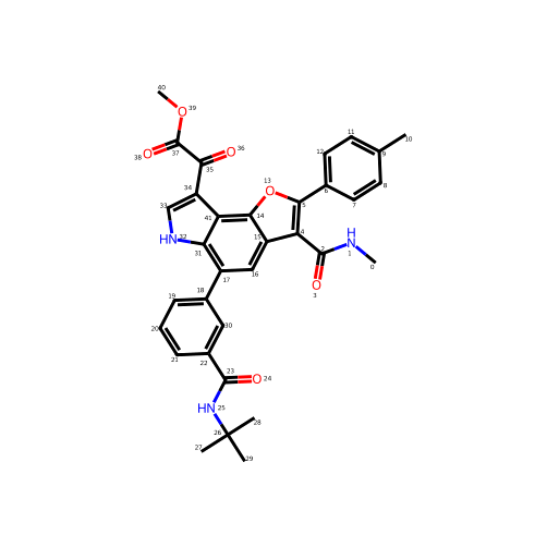 CNC(=O)c1c(-c2ccc(C)cc2)oc2c1cc(-c1cccc(C(=O)NC(C)(C)C)c1)c1[nH]cc(C(=O)C(=O)OC)c12